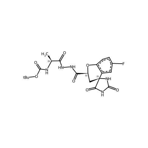 C[C@H](NC(=O)OC(C)(C)C)C(=O)NNC(=O)[C@@H]1C[C@]2(NC(=O)NC2=O)c2cc(F)ccc2O1